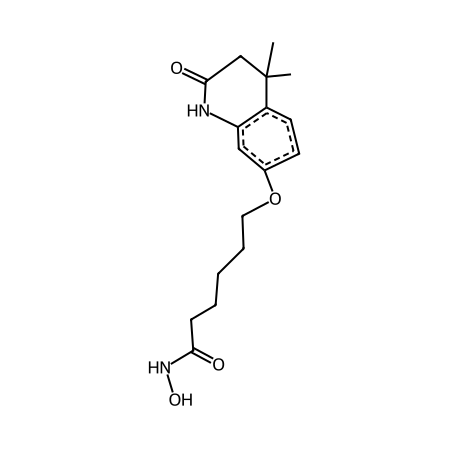 CC1(C)CC(=O)Nc2cc(OCCCCCC(=O)NO)ccc21